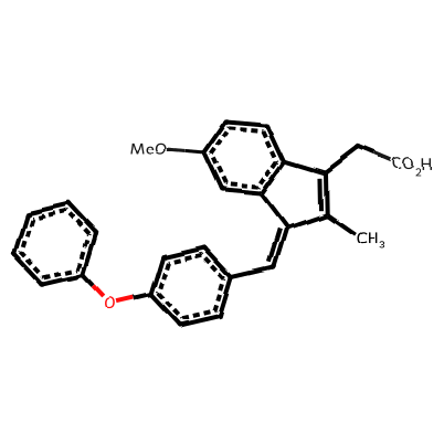 COc1ccc2c(c1)/C(=C\c1ccc(Oc3ccccc3)cc1)C(C)=C2CC(=O)O